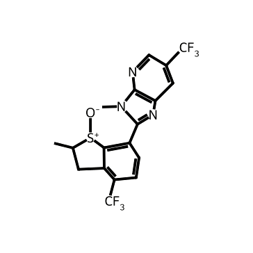 CC1Cc2c(C(F)(F)F)ccc(-c3nc4cc(C(F)(F)F)cnc4n3C)c2[S+]1[O-]